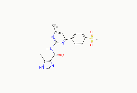 Cc1[nH]cnc1C(=O)N(C)c1nc(-c2ccc(S(C)(=O)=O)cc2)cc(C(F)(F)F)n1